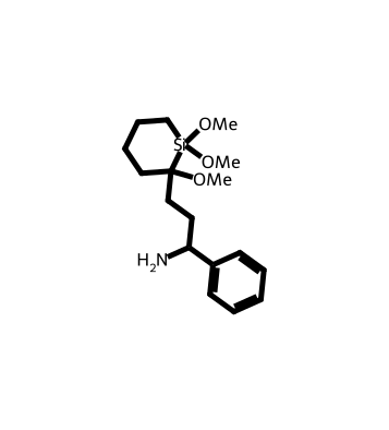 COC1(CCC(N)c2ccccc2)CCCC[Si]1(OC)OC